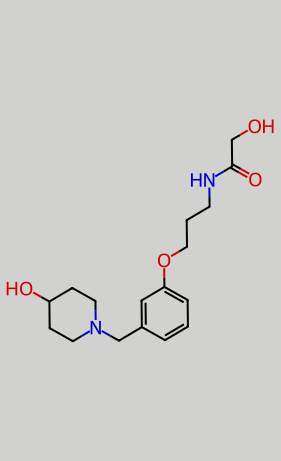 O=C(CO)NCCCOc1cccc(CN2CCC(O)CC2)c1